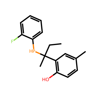 CCC(C)(Pc1ccccc1F)c1cc(C)ccc1O